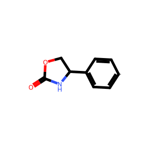 O=C1NC(c2cc[c]cc2)CO1